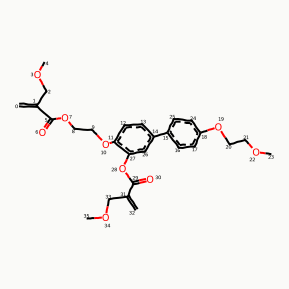 C=C(COC)C(=O)OCCOc1ccc(-c2ccc(OCCOC)cc2)cc1OC(=O)C(=C)COC